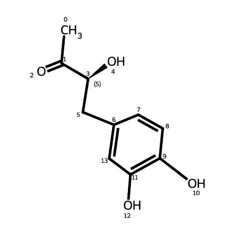 CC(=O)[C@@H](O)Cc1ccc(O)c(O)c1